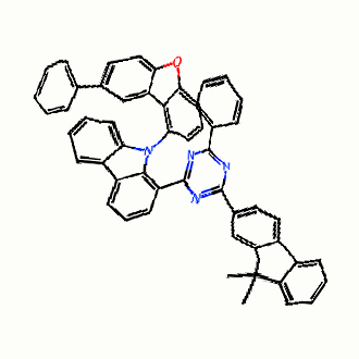 CC1(C)c2ccccc2-c2ccc(-c3nc(-c4ccccc4)nc(-c4cccc5c6ccccc6n(-c6cccc7oc8ccc(-c9ccccc9)cc8c67)c45)n3)cc21